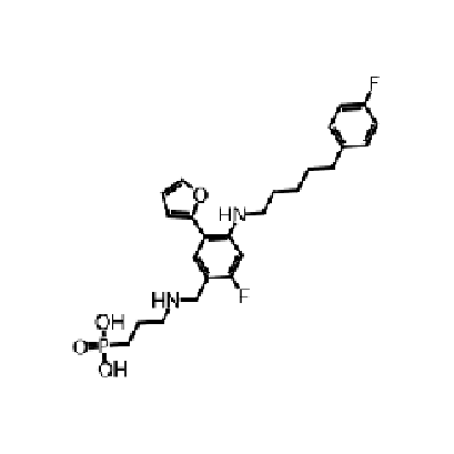 O=P(O)(O)CCCNCc1cc(-c2ccco2)c(NCCCCCc2ccc(F)cc2)cc1F